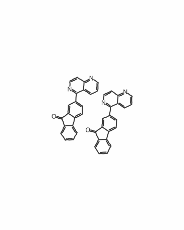 O=C1c2ccccc2-c2ccc(-c3nccc4ncccc34)cc21.O=C1c2ccccc2-c2ccc(-c3nccc4ncccc34)cc21